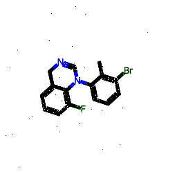 Cc1c(Br)cccc1N1C=NCc2cccc(F)c21